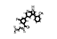 COc1ccccc1-c1c[nH]c2ncc(-c3cc(F)cc(C(=O)N(C)CCN(C)C)c3)cc12